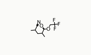 CC(C#N)CC(C)C(=O)OCC(F)(F)F